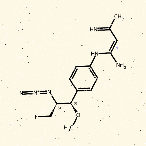 CO[C@H](c1ccc(N/C(N)=C\C(C)=N)cc1)[C@@H](CF)N=[N+]=[N-]